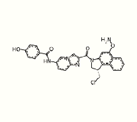 NOc1cc2c(c3ccccc13)[C@H](CCl)CN2C(=O)c1cn2cc(NC(=O)c3ccc(O)cc3)ccc2n1